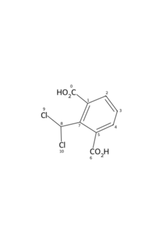 O=C(O)c1cccc(C(=O)O)c1C(Cl)Cl